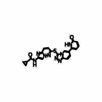 O=C(Nc1cn2nc(Sc3nnc4ccc(-c5cccc(=O)[nH]5)cn34)ccc2n1)C1CC1